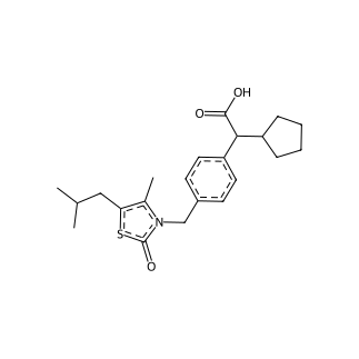 Cc1c(CC(C)C)sc(=O)n1Cc1ccc(C(C(=O)O)C2CCCC2)cc1